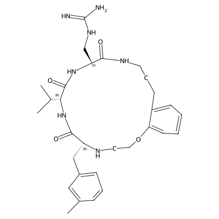 Cc1cccc(C[C@H]2NCCOc3ccccc3CCCNC(=O)[C@H](CNC(=N)N)NC(=O)[C@@H](C(C)C)NC2=O)c1